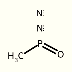 CP=O.[N].[N]